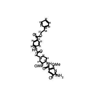 COc1nc(N)c(Cl)cc1C(=O)N[C@H]1CCN(CC(=O)Nc2ccc(C(=O)OCCc3ccccn3)cc2)C[C@H]1OC